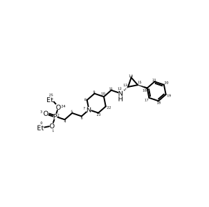 CCOP(=O)(CCCN1CCC(CN[C@@H]2C[C@H]2c2ccccc2)CC1)OCC